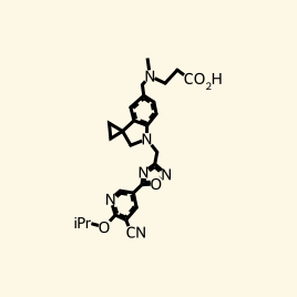 CC(C)Oc1ncc(-c2nc(CN3CC4(CC4)c4cc(CN(C)CCC(=O)O)ccc43)no2)cc1C#N